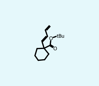 C=CC=CC1(C(=O)OC(C)(C)C)CCCCC1